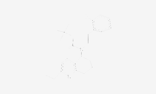 CCc1ccc2c(n1)CCCC2N(CCc1ccccc1O)C(=O)OC(C)(C)C